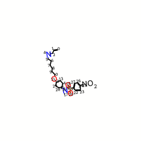 C=CCN(C)CCCCCCO[C@H]1CC[C@H](N(C)S(=O)(=O)c2ccc([N+](=O)[O-])cc2)CC1